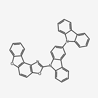 c1ccc2c(c1)oc1ccc3oc(-n4c5ccccc5c5cc(-n6c7ccccc7c7ccccc76)ccc54)nc3c12